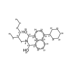 CCCCC(CC)CN1C(O)c2cccc3c(C4CCCCC4)ccc(c23)C1O